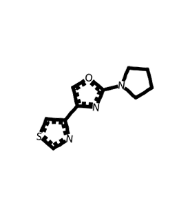 c1nc(-c2coc(N3CCCC3)n2)cs1